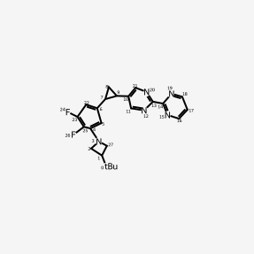 CC(C)(C)C1CN(c2cc(C3CC3c3cnc(-c4ncccn4)nc3)cc(F)c2F)C1